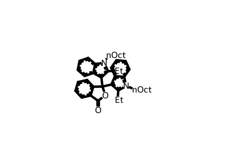 CCCCCCCCn1c(CC)c(C2(c3c(CC)n(CCCCCCCC)c4ccccc34)OC(=O)c3ccccc32)c2ccccc21